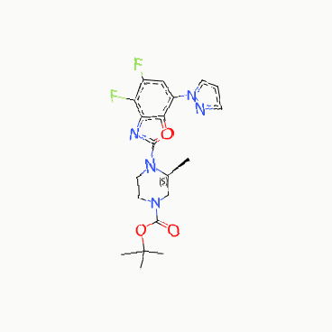 C[C@H]1CN(C(=O)OC(C)(C)C)CCN1c1nc2c(F)c(F)cc(-n3cccn3)c2o1